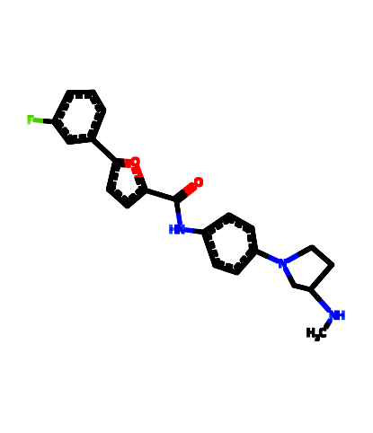 CNC1CCN(c2ccc(NC(=O)c3ccc(-c4cccc(F)c4)o3)cc2)C1